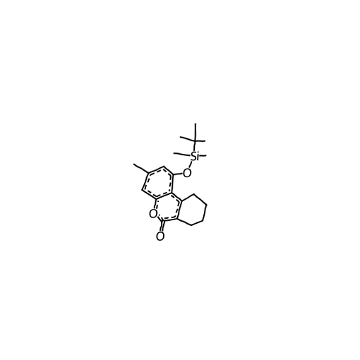 Cc1cc(O[Si](C)(C)C(C)(C)C)c2c3c(c(=O)oc2c1)CCCC3